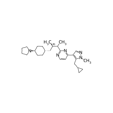 CC(c1nccc(-c2cnn(C)c2CC2CC2)n1)[C@H](C)C[C@H]1CC[C@H](N2CCCC2)CC1